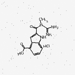 CN(C(=N)N)C(=O)c1cc2c(C(=O)O)cccc2[nH]1.Cl